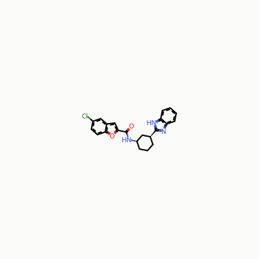 O=C(N[C@@H]1CCC[C@H](c2nc3ccccc3[nH]2)C1)c1cc2cc(Cl)ccc2o1